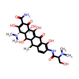 CC1c2ccc(NC(=O)C(CO)N(C)C)c(O)c2C(=O)C2=C(O)[C@]3(O)C(=O)C(C(N)=O)=C(O)[C@@H](N(C)C)C3C(O)C21